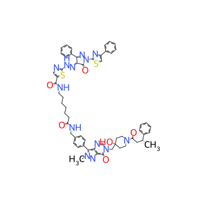 C[C@H](CC(=O)N1CCC(O)(Cn2cnc3c(-c4ccc(CNC(=O)CCCCCCNC(=O)c5cnc(N/N=C6/C(=O)N(c7nc(-c8ccccc8)cs7)N=C6c6ccccc6)s5)cc4)n(C)nc3c2=O)CC1)c1ccccc1